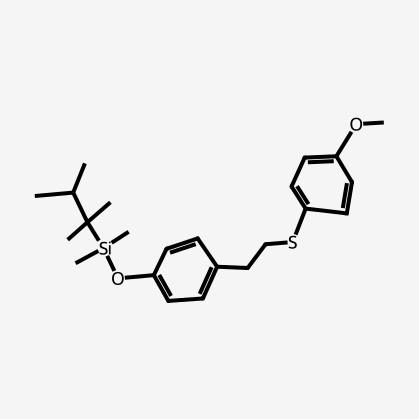 COc1ccc(SCCc2ccc(O[Si](C)(C)C(C)(C)C(C)C)cc2)cc1